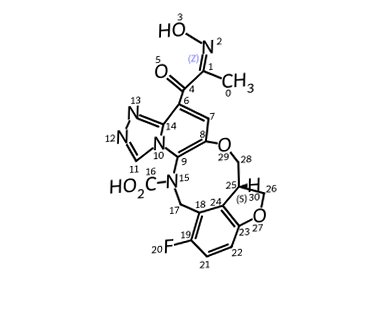 C/C(=N/O)C(=O)c1cc2c(n3cnnc13)N(C(=O)O)Cc1c(F)ccc3c1[C@@H](CO3)CO2